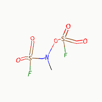 CN(OS(=O)(=O)F)S(=O)(=O)F